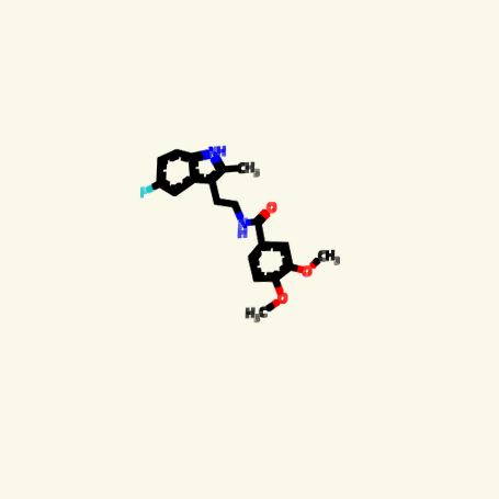 COc1ccc(C(=O)NCCc2c(C)[nH]c3ccc(F)cc23)cc1OC